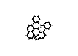 c1ccc2c(c1)-c1ccc3ccccc3c1C1c3c(ccc4ccccc34)-c3ccccc3N21